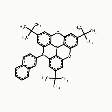 CC(C)(C)c1cc2c3c(c1)Oc1cc(C(C)(C)C)cc4c1P3c1c(cc(C(C)(C)C)cc1N4c1ccc3ccccc3c1)O2